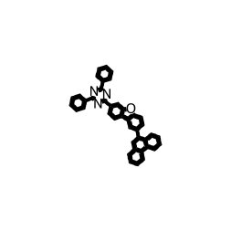 c1ccc(-c2nc(-c3ccccc3)nc(-c3ccc4c(c3)oc3ccc(-c5cc6ccccc6c6ccccc56)cc34)n2)cc1